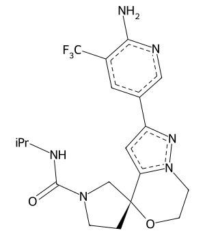 CC(C)NC(=O)N1CC[C@]2(C1)OCCn1nc(-c3cnc(N)c(C(F)(F)F)c3)cc12